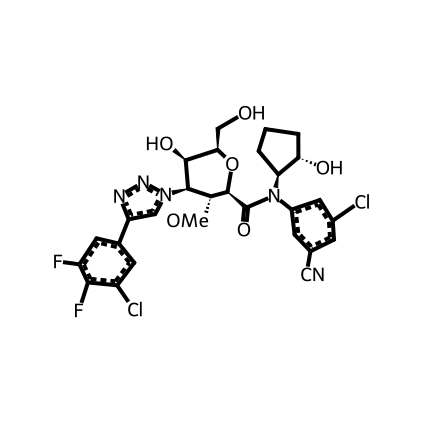 CO[C@@H]1[C@@H](n2cc(-c3cc(F)c(F)c(Cl)c3)nn2)[C@@H](O)[C@@H](CO)O[C@H]1C(=O)N(c1cc(Cl)cc(C#N)c1)[C@H]1CCC[C@@H]1O